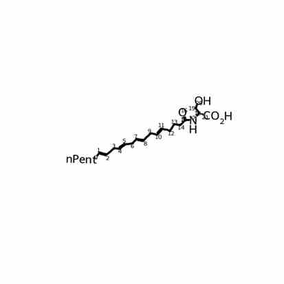 CCCCCC=CCC=CCC=CCC=CCCCC(=O)N[C@@H](CO)C(=O)O